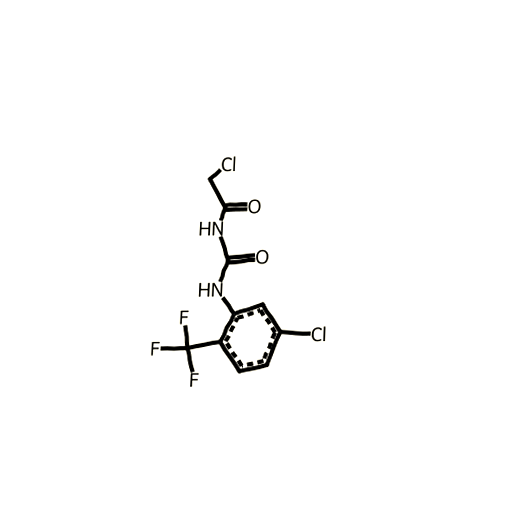 O=C(CCl)NC(=O)Nc1cc(Cl)ccc1C(F)(F)F